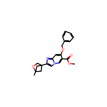 COC(=O)c1cn2cc(C34COC(C)(C3)C4)nc2cc1OCc1ccccc1